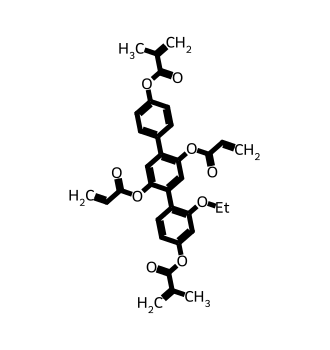 C=CC(=O)Oc1cc(-c2ccc(OC(=O)C(=C)C)cc2OCC)c(OC(=O)C=C)cc1-c1ccc(OC(=O)C(=C)C)cc1